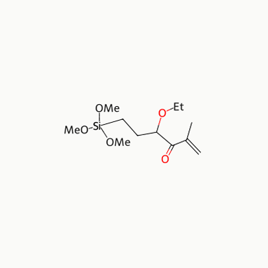 C=C(C)C(=O)C(CC[Si](OC)(OC)OC)OCC